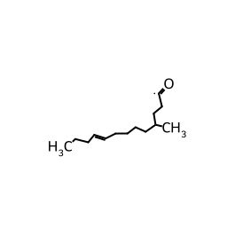 CCCC=CCCCCC(C)CC[C]=O